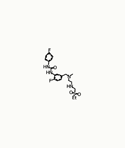 CCS(=O)(=O)CNCCN(C)Cc1ccc(F)c(NC(=O)Nc2ccc(F)cc2)c1